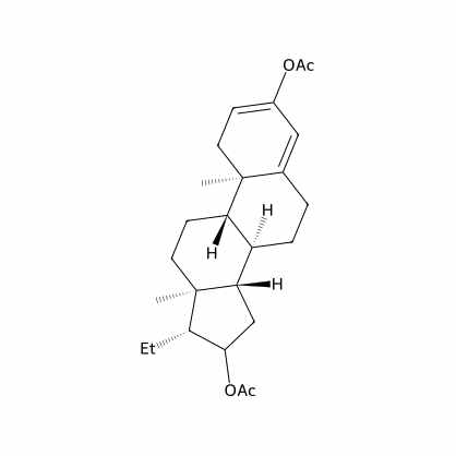 CC[C@H]1C(OC(C)=O)C[C@H]2[C@@H]3CCC4=CC(OC(C)=O)=CC[C@]4(C)[C@H]3CC[C@]12C